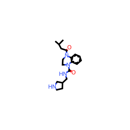 CC(C)CC(=O)N1CCN(C(=O)NCC2CCNC2)c2ccccc21